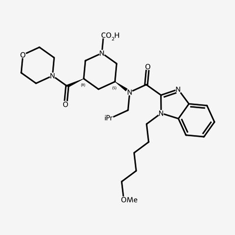 COCCCCCn1c(C(=O)N(CC(C)C)[C@H]2C[C@@H](C(=O)N3CCOCC3)CN(C(=O)O)C2)nc2ccccc21